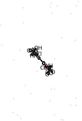 C[C@H]1C[C@@H](c2nc(Cl)c(-c3ccc(C#Cc4ccc(-c5[nH]c([C@@H]6C[C@H](C)CN6C(=O)[C@H](C6CCOCC6)N(C)C(=O)O)nc5Cl)cc4)cc3)[nH]2)N(C(=O)[C@H](C2CCOCC2)N(C)C(=O)O)C1